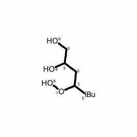 CCC(C)C(CC(O)CO)OO